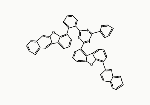 c1ccc(-c2nc(-c3ccccc3-c3cccc4c3oc3cc5ccccc5cc34)nc(-c3cccc4oc5c(-c6ccc7ccccc7c6)cccc5c34)n2)cc1